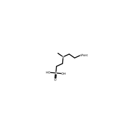 CCCCCCCN(C)CCP(=O)(O)O